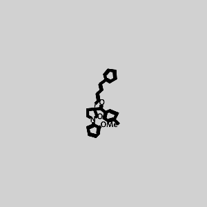 COc1ccccc1N1CC[C@@](C/C=C/C=C/c2ccccc2)(C(=O)c2ccc(C)cc2)C1=O